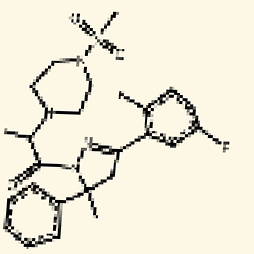 CC(C(=O)N1N=C(c2cc(F)ccc2F)CC1(C)c1ccccc1)N1CCN(S(C)(=O)=O)CC1